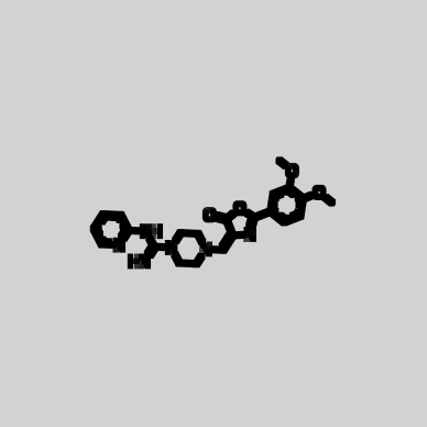 COc1ccc(C2=NC(=CN3CCN(C(=N)Nc4ccccn4)CC3)C(=O)O2)cc1OC